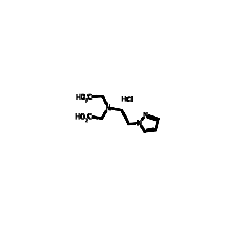 Cl.O=C(O)CN(CCn1cccn1)CC(=O)O